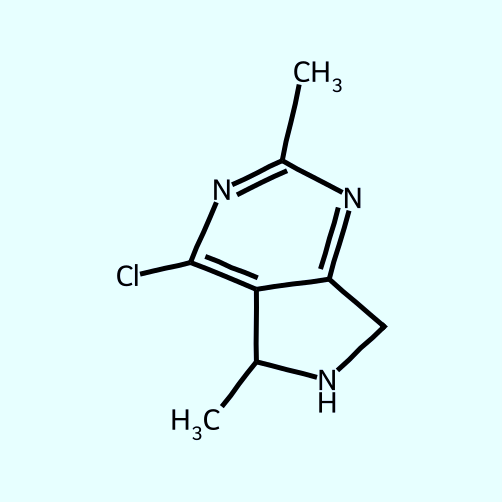 Cc1nc(Cl)c2c(n1)CNC2C